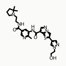 Cc1ncc(C(=O)NCCN2CCCC2(C)C)cc1NC(=O)c1cnn2cc(-c3cnn(CCO)c3)sc12